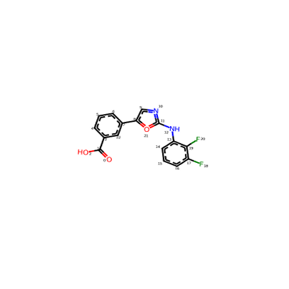 O=C(O)c1cccc(-c2cnc(Nc3cccc(F)c3F)o2)c1